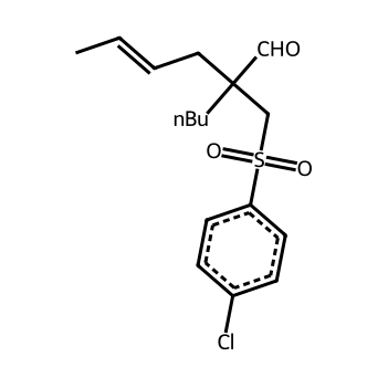 CC=CCC(C=O)(CCCC)CS(=O)(=O)c1ccc(Cl)cc1